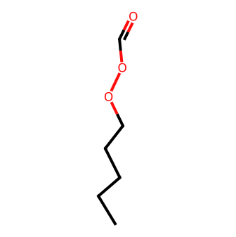 CCCCCOOC=O